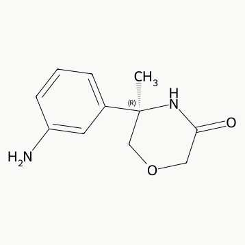 C[C@@]1(c2cccc(N)c2)COCC(=O)N1